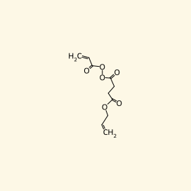 C=CCOC(=O)CCC(=O)OOC(=O)C=C